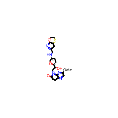 COc1cnc2ccc(=O)n(C[C@H](O)[C@@H]3CC[C@@H](NCc4cc5c(nn4)OCCS5)CO3)c2n1